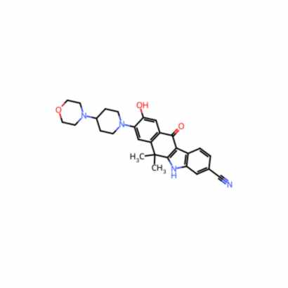 CC1(C)c2cc(N3CCC(N4CCOCC4)CC3)c(O)cc2C(=O)c2c1[nH]c1cc(C#N)ccc21